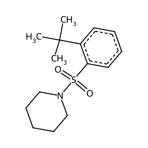 CC(C)(C)c1ccccc1S(=O)(=O)N1CCCCC1